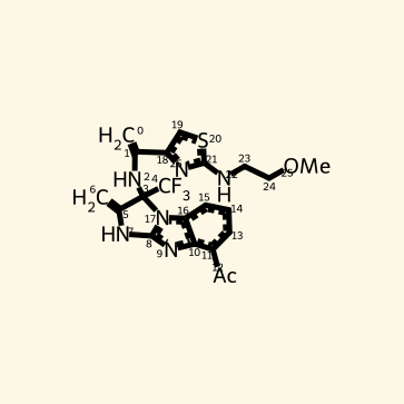 C=C(NC1(C(F)(F)F)C(=C)Nc2nc3c(C(C)=O)cccc3n21)c1csc(NCCOC)n1